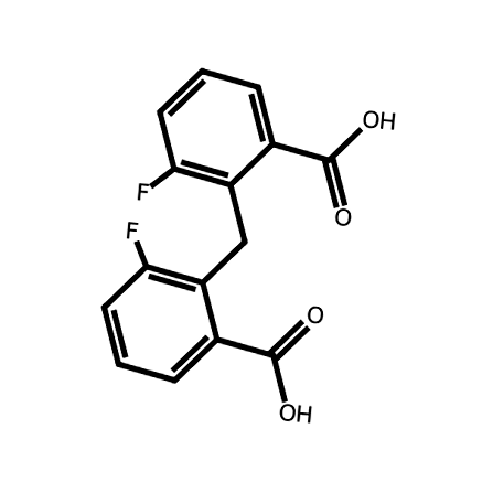 O=C(O)c1cccc(F)c1Cc1c(F)cccc1C(=O)O